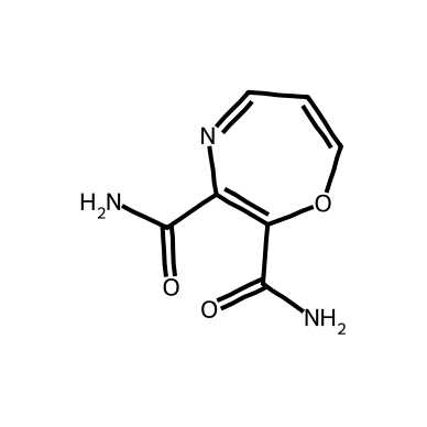 NC(=O)C1=C(C(N)=O)OC=CC=N1